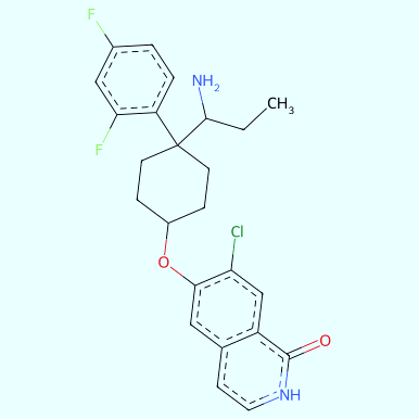 CCC(N)C1(c2ccc(F)cc2F)CCC(Oc2cc3cc[nH]c(=O)c3cc2Cl)CC1